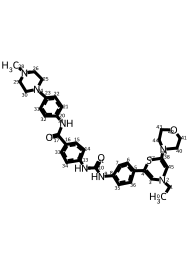 CCN1C=C(c2ccc(NC(=O)Nc3ccc(C(=O)Nc4ccc(N5CCN(C)CC5)cc4)cc3)cc2)SC(N2CCOCC2)=C1